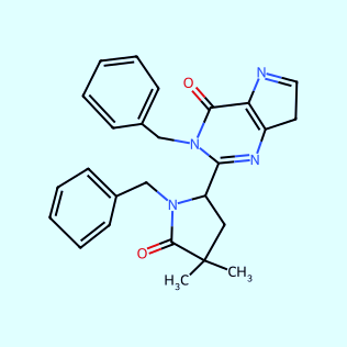 CC1(C)CC(c2nc3c(c(=O)n2Cc2ccccc2)N=CC3)N(Cc2ccccc2)C1=O